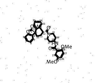 COC(=O)[C@]1(c2ccccc2)CC[C@@H](C(=O)N2CCC(NC(=O)c3cc(OC)ccc3OC)CC2)c2ccccc21